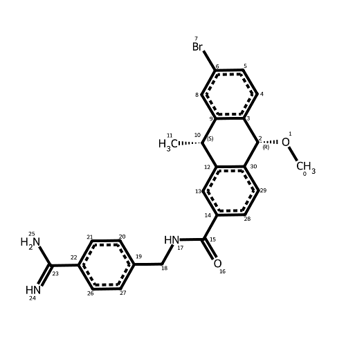 CO[C@H]1c2ccc(Br)cc2[C@@H](C)c2cc(C(=O)NCc3ccc(C(=N)N)cc3)ccc21